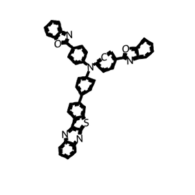 c1ccc2nc3c(nc2c1)sc1cc(-c2ccc(N(c4ccc(-c5nc6ccccc6o5)cc4)c4ccc(-c5nc6ccccc6o5)cc4)cc2)ccc13